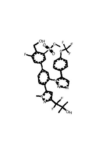 COS(=O)(=O)c1cc(-c2ccc(-c3cc(C(F)(F)C(C)(C)O)nn3C)c(-n3nncc3-c3ccc(OC(F)(F)F)cc3)c2)cc(F)c1CO